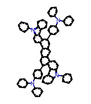 c1ccc(N(c2ccccc2)c2ccc(-c3cc4cc5c(cc(-c6ccc(N(c7ccccc7)c7ccccc7)cc6)c6c5ccc5c6c6ccccc6n5-c5ccccc5)cc4c4ccc5c(c6ccccc6n5-c5ccccc5)c34)cc2)cc1